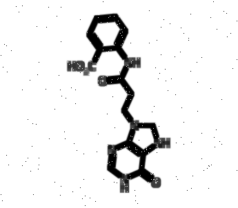 O=C(CCN1CNc2c1nc[nH]c2=O)Nc1ccccc1C(=O)O